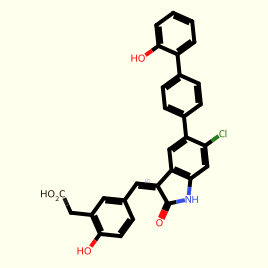 O=C(O)Cc1cc(/C=C2\C(=O)Nc3cc(Cl)c(-c4ccc(-c5ccccc5O)cc4)cc32)ccc1O